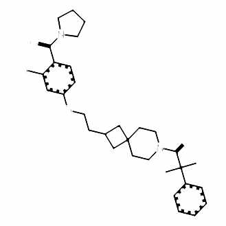 CC(C)(C(=O)N1CCC2(CC1)CC(CCOc1ccc(C(=O)N3CCCC3)c(Cl)c1)C2)c1ccccc1